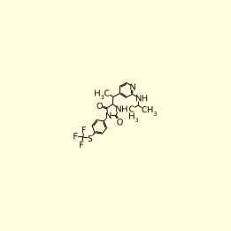 CC(C)Nc1cc(C(C)C2NC(=O)N(c3ccc(SC(F)(F)F)cc3)C2=O)ccn1